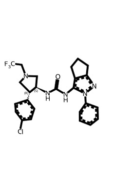 O=C(Nc1c2c(nn1-c1ccccc1)CCC2)N[C@@H]1CN(CC(F)(F)F)C[C@H]1c1ccc(Cl)cc1